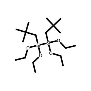 CCO[Si](CC(C)(C)C)(OCC)[Si](CC(C)(C)C)(OCC)OCC